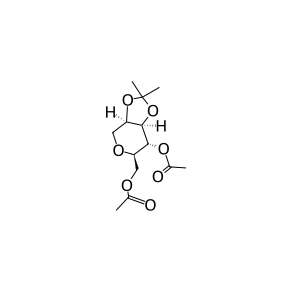 CC(=O)OC[C@H]1OC[C@H]2OC(C)(C)O[C@H]2[C@@H]1OC(C)=O